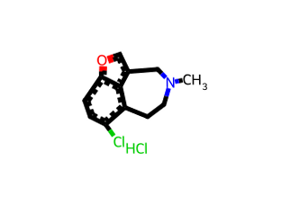 CN1CCc2c(Cl)ccc3occ(c23)C1.Cl